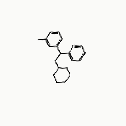 Cc1cccc(C(CC2CCCCC2)c2ccccn2)c1